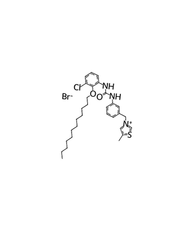 CCCCCCCCCCCCOc1c(Cl)cccc1NC(=O)Nc1cccc(C[n+]2csc(C)c2)c1.[Br-]